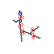 CC/C=C\CC1C(CC(=O)OCCC(CCCCCCCC)OC(=O)CCCCC(COC(=O)CCCCC)COC(=O)CCCCC)CCC1OC(=O)C1CCN(C)CC1